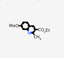 CCOC(=O)c1cc2ccc(OC)cc2nc1C